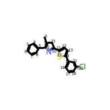 CC1=C(c2ccccc2)N=C(c2ccc(-c3cccc(Cl)c3)s2)C1